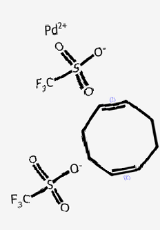 C1=C\CC/C=C\CC/1.O=S(=O)([O-])C(F)(F)F.O=S(=O)([O-])C(F)(F)F.[Pd+2]